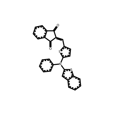 O=C1C(=Cc2ccc(N(c3ccccc3)c3cc4ccccc4s3)s2)C(=O)c2ccccc21